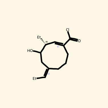 CC/C=C1/CCC/C(C(=O)Cl)=C\[C@@H](CC)C(O)C1